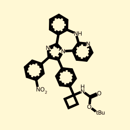 CC(C)(C)OC(=O)NC1(c2ccc(-c3c(-c4cccc([N+](=O)[O-])c4)nc4n3-c3cccnc3Nc3ccccc3-4)cc2)CCC1